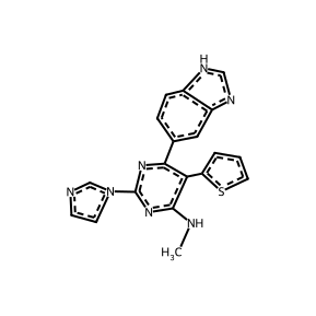 CNc1nc(-n2ccnc2)nc(-c2ccc3[nH]cnc3c2)c1-c1cccs1